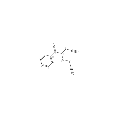 C#CCON(CC#C)C(=O)c1ccccc1